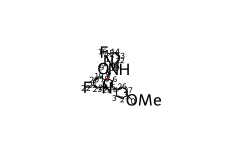 COc1ccc(-c2cc(C(=O)Nc3cccc(F)n3)c3ccc(F)cc3n2)cc1